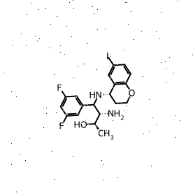 C[C@@H](O)[C@@H](N)C(N[C@H]1CCOc2ccc(I)cc21)c1cc(F)cc(F)c1